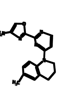 Cc1ccc2c(c1)CCCN2c1ccnc(-c2nc(N)co2)n1